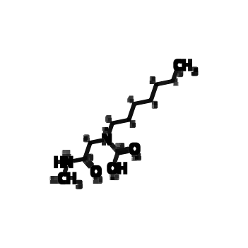 CCCCCCCN(CC(=O)NC)C(=O)O